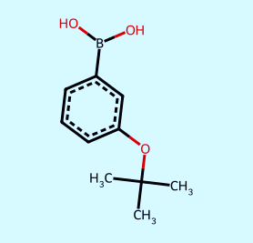 CC(C)(C)Oc1cccc(B(O)O)c1